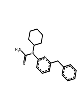 NC(=S)N(c1cccc(Cc2ccccc2)n1)C1CCCCC1